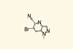 Cn1ncc2nc(C#N)c(Br)cc21